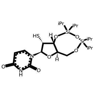 CC(C)[Si]1(C(C)C)OC[C@H]2O[C@@H](n3ccc(=O)[nH]c3=O)[C@H](S)[C@@H]2O[Si](C(C)C)(C(C)C)O1